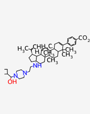 C=C(C)[C@@H]1CC[C@]2(NCCN3CCN(C(O)C4CCC4)CC3)CC[C@]3(C)[C@H](CCC4[C@@]5(C)CC=C(c6ccc(C(=O)O)cc6)C(C)(C)C5CC[C@]43C)C12